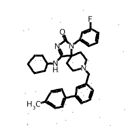 Cc1ccc(-c2cccc(CN3CCC4(CC3)C(NC3CCCCC3)=NC(=O)N4c3cccc(F)c3)c2)cc1